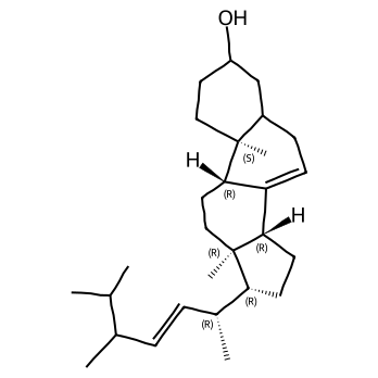 CC(C)C(C)C=C[C@@H](C)[C@H]1CC[C@H]2C3=CCC4CC(O)CC[C@]4(C)[C@H]3CC[C@]12C